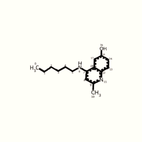 CCCCCCNc1cc(C)nc2ccc(O)cc12